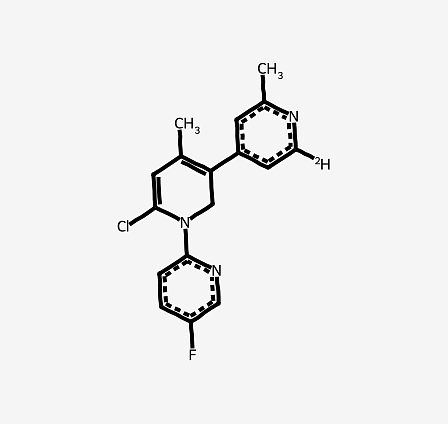 [2H]c1cc(C2=C(C)C=C(Cl)N(c3ccc(F)cn3)C2)cc(C)n1